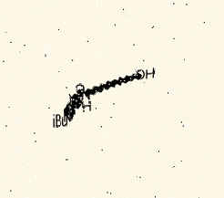 CCC(C)N1CCN(c2ccc(C(=O)NCCCCCCCCCCCCCCCCO)cn2)CC1